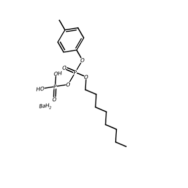 CCCCCCCCOP(=O)(Oc1ccc(C)cc1)OP(=O)(O)O.[BaH2]